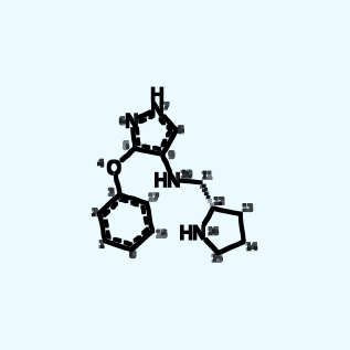 c1ccc(Oc2n[nH]cc2NC[C@@H]2CCCN2)cc1